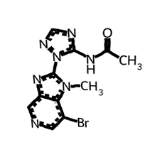 CC(=O)Nc1ncnn1-c1nc2cncc(Br)c2n1C